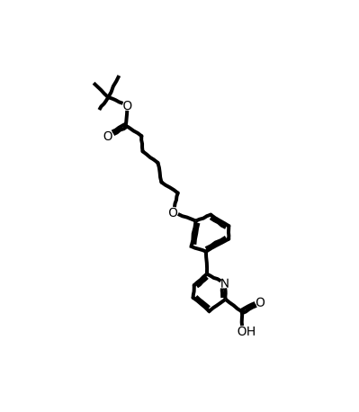 CC(C)(C)OC(=O)CCCCCOc1cccc(-c2cccc(C(=O)O)n2)c1